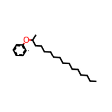 CCCCCCCCCCCCCCC(C)Oc1[c]cccc1